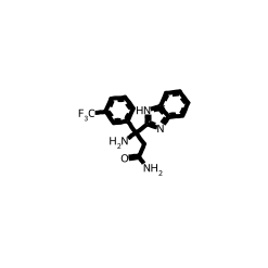 NC(=O)CC(N)(c1cccc(C(F)(F)F)c1)c1nc2ccccc2[nH]1